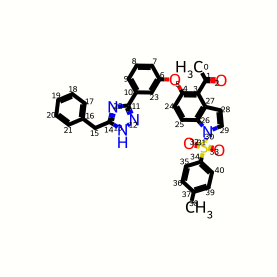 CC(=O)c1c(Oc2cccc(-c3n[nH]c(Cc4ccccc4)n3)c2)ccc2c1ccn2S(=O)(=O)c1ccc(C)cc1